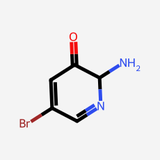 NC1N=CC(Br)=CC1=O